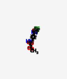 COC(=O)CCS(=O)(=O)NCc1ccc(-c2noc(C(F)(F)F)n2)cc1